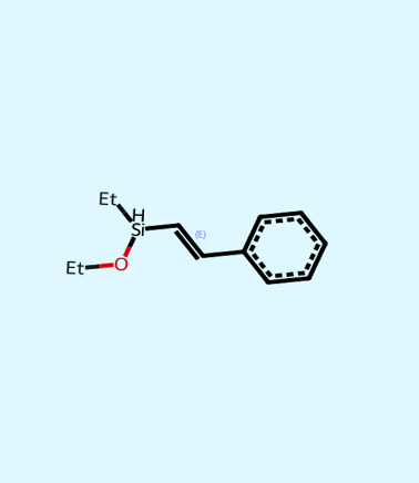 CCO[SiH](/C=C/c1ccccc1)CC